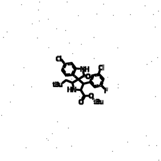 CC(C)(C)CC1NC(C(=O)OC(C)(C)C)C(c2cc(F)cc(Cl)c2)C12C(=O)Nc1cc(Cl)ccc12